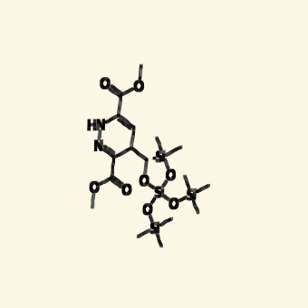 COC(=O)C1=CC(CO[Si](O[Si](C)(C)C)(O[Si](C)(C)C)O[Si](C)(C)C)C(C(=O)OC)=NN1